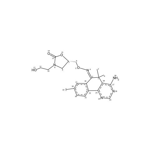 CC1(C)/C(=N/OC[C@@H]2CN(CCO)C(=O)O2)c2cc(I)ccc2-c2ncnc(N)c21